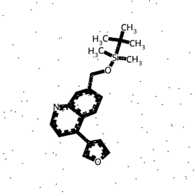 CC(C)(C)[Si](C)(C)OCc1ccc2c(-c3ccoc3)ccnc2c1